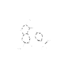 COc1cc2ncc(C#N)c(Oc3ccc([S@](C)(=N)=O)cc3)c2cc1F